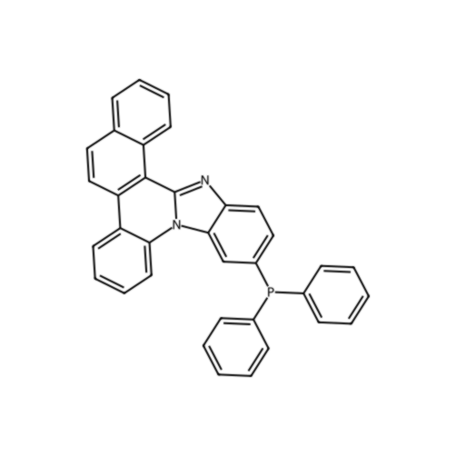 c1ccc(P(c2ccccc2)c2ccc3nc4c5c6ccccc6ccc5c5ccccc5n4c3c2)cc1